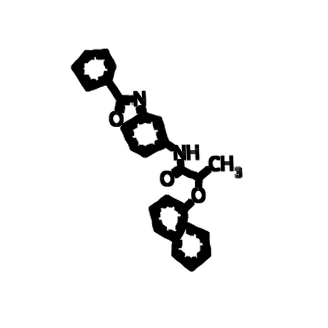 CC(Oc1cccc2ccccc12)C(=O)Nc1ccc2oc(-c3ccccc3)nc2c1